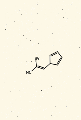 CC(C)/C(C#N)=C\C1C=CC=C1